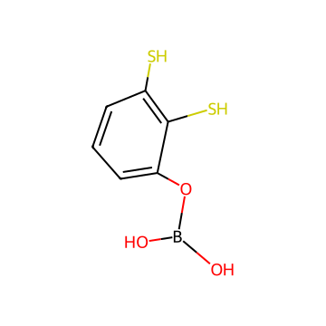 OB(O)Oc1cccc(S)c1S